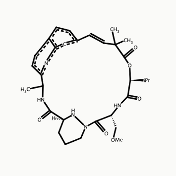 COC[C@H]1NC(=O)[C@H](C(C)C)OC(=O)C(C)(C)/C=C/c2ccc3ccc(nc3c2)C(C)NC(=O)[C@@H]2CCCN(N2)C1=O